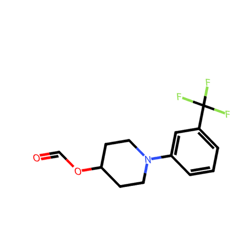 O=COC1CCN(c2cccc(C(F)(F)F)c2)CC1